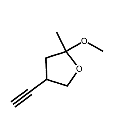 C#CC1COC(C)(OC)C1